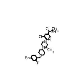 CNC(=O)c1cnc(N2CCN(C3CCN(Cc4ccc(Br)cc4F)CC3)[C@@H](C)C2)c(Cl)c1